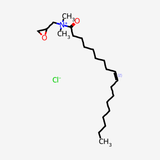 CCCCCCCC/C=C\CCCCCCCC(=O)[N+](C)(C)CC1CO1.[Cl-]